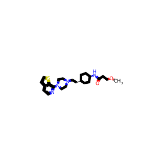 COCCC(=O)N[C@H]1CC[C@H](CCN2CCN(c3nccc4ccsc34)CC2)CC1